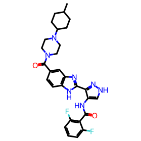 CC1CCC(N2CCN(C(=O)c3ccc4[nH]c(-c5n[nH]cc5NC(=O)c5c(F)cccc5F)nc4c3)CC2)CC1